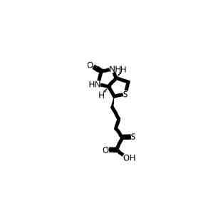 O=C1N[C@H]2[C@H](CS[C@H]2CCCC(=S)C(=O)O)N1